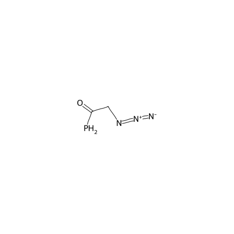 [N-]=[N+]=NCC(=O)P